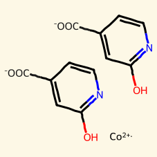 O=C([O-])c1ccnc(O)c1.O=C([O-])c1ccnc(O)c1.[Co+2]